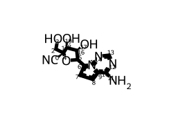 N#C[C@]1(CO)OC(c2ccc3c(N)ncnn23)[C@H](O)[C@@H]1O